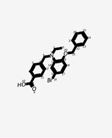 CCN(Cc1ccc(C(=O)O)cc1)c1cc(Br)ccc1OCc1ccccc1